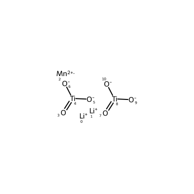 [Li+].[Li+].[Mn+2].[O]=[Ti]([O-])[O-].[O]=[Ti]([O-])[O-]